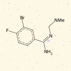 CNC/N=C(/N)c1ccc(F)c(Br)c1